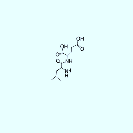 CC(C)C[C@H](NI)C(=O)N[C@@H](CCC(=O)O)C(=O)O